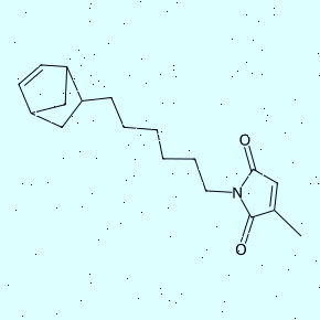 CC1=CC(=O)N(CCCCCCC2CC3C=CC2C3)C1=O